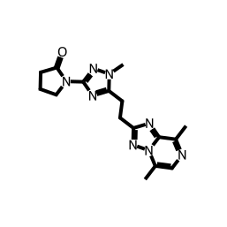 Cc1ncc(C)n2nc(CCc3nc(N4CCCC4=O)nn3C)nc12